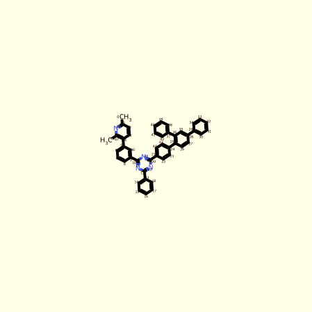 Cc1ccc(-c2cccc(-c3nc(-c4ccccc4)nc(-c4ccc(-c5ccc(-c6ccccc6)cc5-c5ccccc5)cc4)n3)c2)c(C)n1